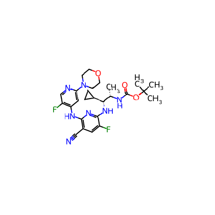 C[C@H](NC(=O)OC(C)(C)C)[C@H](Nc1nc(Nc2cc(N3CCOCC3)ncc2F)c(C#N)cc1F)C1CC1